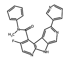 CN(C(=O)c1c(F)cnc2[nH]c3cnc(-c4cccnc4)cc3c12)c1ccccc1